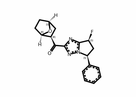 O=C(c1nc2n(n1)[C@H](c1ccccc1)C[C@@H]2F)[C@@H]1C[C@@H]2CC[C@H]1O2